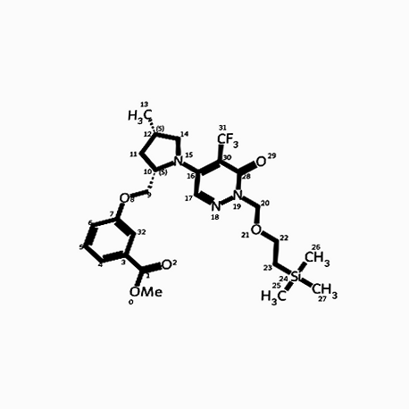 COC(=O)c1cccc(OC[C@@H]2C[C@H](C)CN2c2cnn(COCC[Si](C)(C)C)c(=O)c2C(F)(F)F)c1